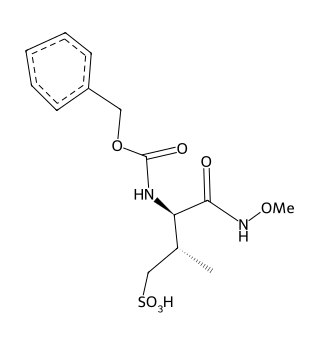 CONC(=O)[C@H](NC(=O)OCc1ccccc1)[C@H](C)CS(=O)(=O)O